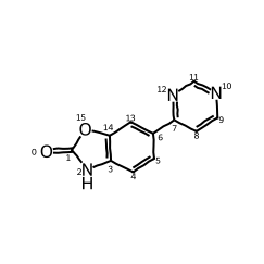 O=c1[nH]c2ccc(-c3ccncn3)cc2o1